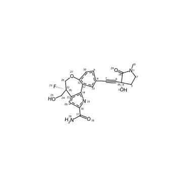 CN1CC[C@@](O)(C#Cc2ccc3c(c2)-c2nc(C(N)=O)sc2[C@@](F)(CO)CO3)C1=O